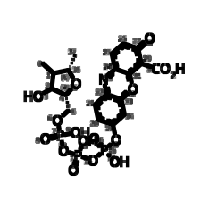 CC1C(O)[C@@H](COP(=O)(O)OP(=O)(O)OP(=O)(O)Oc2ccc3nc4ccc(=O)c(C(=O)O)c-4oc3c2)O[C@H]1C